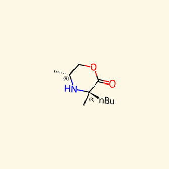 CCCC[C@@]1(C)N[C@H](C)COC1=O